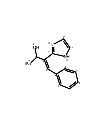 CC(C)(C)C(O)/C(=C/c1ccccc1)c1ncc[nH]1